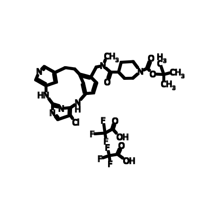 CN(Cc1ccc2cc1CCc1cncc(c1)Nc1ncc(Cl)c(n1)N2)C(=O)C1CCN(C(=O)OC(C)(C)C)CC1.O=C(O)C(F)(F)F.O=C(O)C(F)(F)F